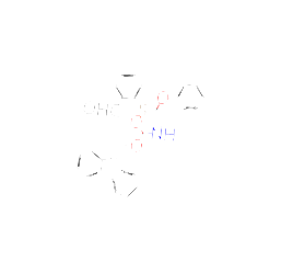 O=Cc1ccccc1SC(=O)[C@H](Cc1ccccc1)NC(=O)OCC1c2ccccc2-c2ccccc21